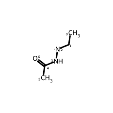 CC[N]NC(C)=O